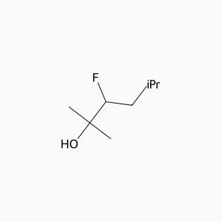 CC(C)CC(F)C(C)(C)O